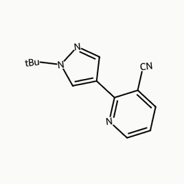 CC(C)(C)n1cc(-c2ncccc2C#N)cn1